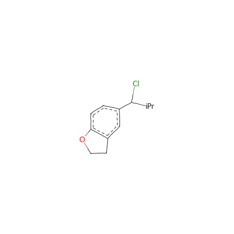 CC(C)C(Cl)c1ccc2c(c1)CCO2